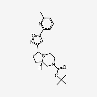 Cc1cccc(-c2cc([C@H]3CC[C@H]4CN(C(=O)OC(C)(C)C)CCN43)no2)n1